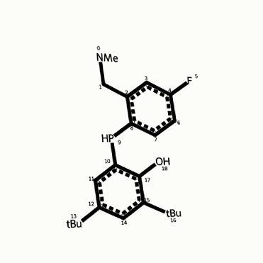 CNCc1cc(F)ccc1Pc1cc(C(C)(C)C)cc(C(C)(C)C)c1O